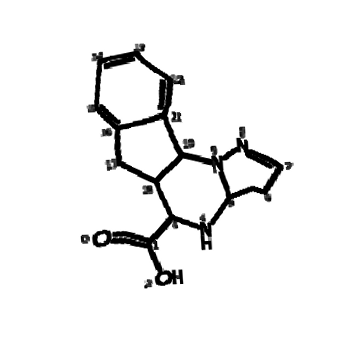 O=C(O)C1NC2CC=NN2C2c3ccccc3CC12